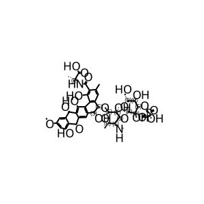 CN[C@@H]1[C@H](O[C@@H]2O[C@H](CO)[C@@H](O)[C@H](OS(=O)(=O)O)[C@H]2O)[C@@H](O)[C@H](O[C@H]2c3cc(C)c(C(=O)N[C@H](C)C(=O)O)c(O)c3-c3c(cc4c(c3O)C(=O)c3cc(OC)cc(O)c3C4=O)[C@@H]2O)O[C@@H]1C